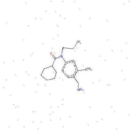 CCCN(C(=O)C1CCCCC1)c1ccc(CN)c(C)c1